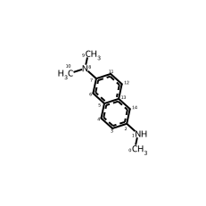 CNc1ccc2cc(N(C)C)ccc2c1